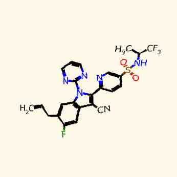 C=CCc1cc2c(cc1F)c(C#N)c(-c1ccc(S(=O)(=O)N[C@@H](C)C(F)(F)F)cn1)n2-c1ncccn1